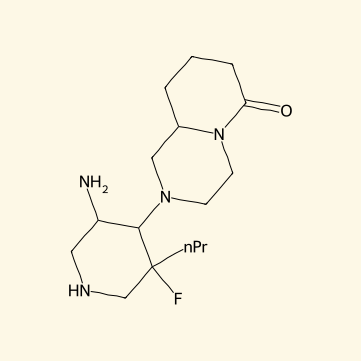 CCCC1(F)CNCC(N)C1N1CCN2C(=O)CCCC2C1